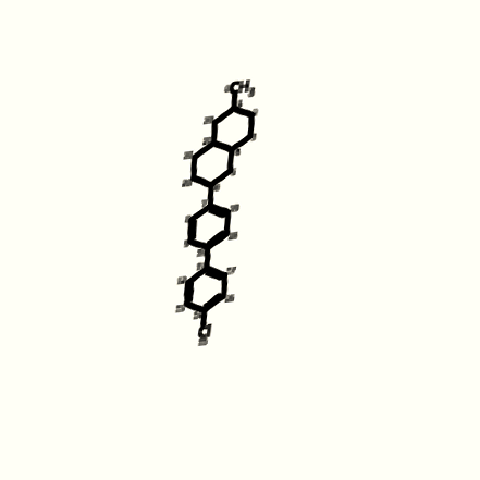 CC1CCC2CC(c3ccc(-c4ccc(Cl)cc4)cc3)CCC2C1